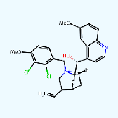 C=CC1C[N+]2(Cc3ccc(OC)c(Cl)c3Cl)CCC1C[C@H]2[C@H](O)c1ccnc2ccc(OC)cc12